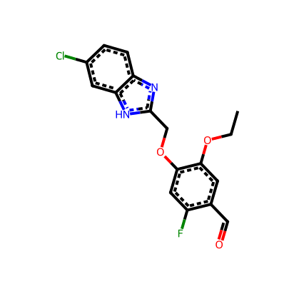 CCOc1cc(C=O)c(F)cc1OCc1nc2ccc(Cl)cc2[nH]1